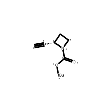 C#C[C@@H]1CCN1C(=O)OC(C)(C)C